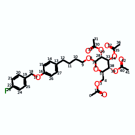 CC(=O)OC[C@H]1O[C@@H](OCCCCc2ccc(OCc3ccc(F)cc3)cc2)[C@H](OC(C)=O)[C@@H](OC(C)=O)[C@@H]1OC(C)=O